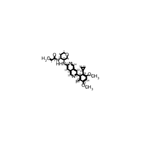 C=CC(=O)N[C@H]1CCOC[C@H]1Nc1cc2cnc(-c3c(F)c(OC)cc(OC)c3C3CC3)cc2cn1